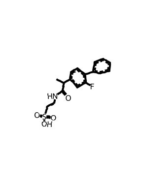 CC(C(=O)NCCS(=O)(=O)O)c1ccc(-c2ccccc2)c(F)c1